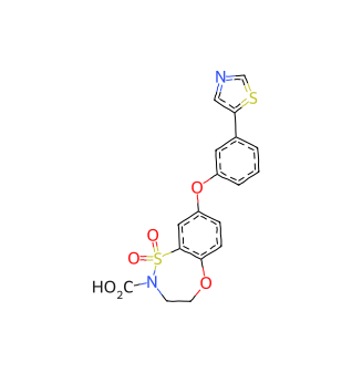 O=C(O)N1CCOc2ccc(Oc3cccc(-c4cncs4)c3)cc2S1(=O)=O